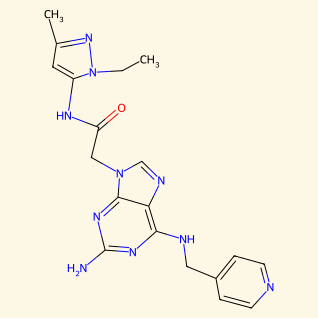 CCn1nc(C)cc1NC(=O)Cn1cnc2c(NCc3ccncc3)nc(N)nc21